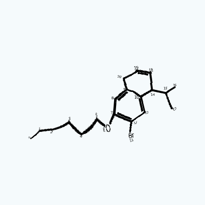 CCCCCCOc1cc2c(cc1Br)C(C(C)C)C=CC2